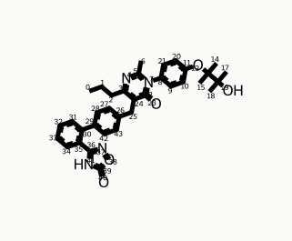 CCCc1nc(C)n(-c2ccc(OC(C)(C)C(C)(C)O)cc2)c(=O)c1Cc1ccc(-c2ccccc2-c2noc(=O)[nH]2)cc1